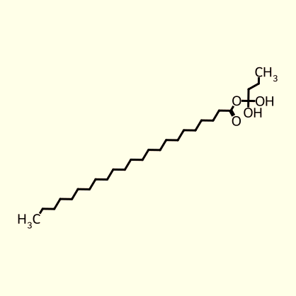 CCCCCCCCCCCCCCCCCCCCCCC(=O)OC(O)(O)CCC